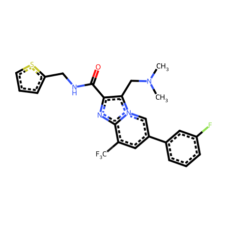 CN(C)Cc1c(C(=O)NCc2cccs2)nc2c(C(F)(F)F)cc(-c3cccc(F)c3)cn12